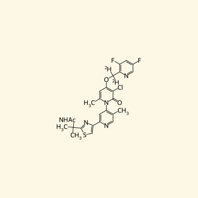 [2H]C([2H])(Oc1cc(C)n(-c2cc(-c3csc(C(C)(C)NC(C)=O)n3)ncc2C)c(=O)c1Cl)c1ncc(F)cc1F